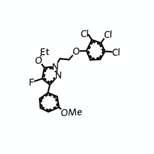 CCOc1c(F)c(-c2cccc(OC)c2)nn1CCOc1ccc(Cl)c(Cl)c1Cl